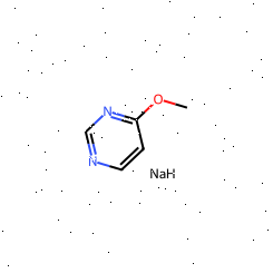 COc1ccncn1.[NaH]